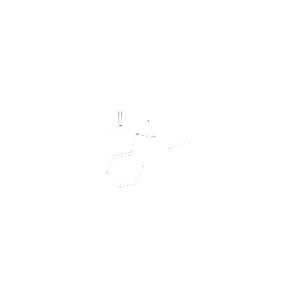 O=C(Cl)C1(c2ccccc2)CC1CBr